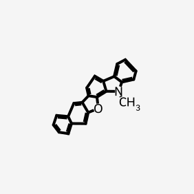 Cn1c2ccccc2c2ccc3c4cc5ccccc5cc4oc3c21